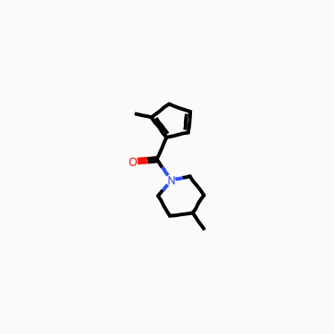 CC1=C(C(=O)N2CCC(C)CC2)C=CC1